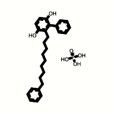 O=P(O)(O)O.Oc1ccc(O)c(-c2ccccc2)c1CCCCCCCCCc1ccccc1